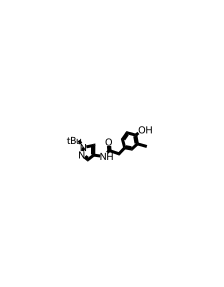 Cc1cc(CC(=O)Nc2cnn(C(C)(C)C)c2)ccc1O